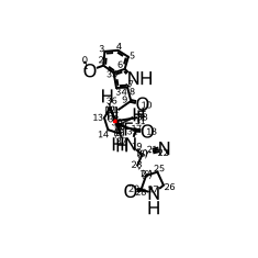 COc1cccc2[nH]c(C(=O)N3[C@H]4CC[C@@H]([C@H]3C(=O)N[C@H](C#N)C[C@@H]3CCNC3=O)C(F)(F)C4)cc12